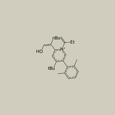 C=C(CC)[n+]1cc(-c2c(C)cccc2C)c(C(C)(C)C)cc1/C(=C\O)CCCC